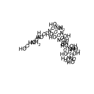 CC(N)C(O)c1ccccc1.CN(C)CCc1ccc(CO)cc1.CN(C)CCc1ccc(O)cc1.CN(C)c1ccc(CO)cc1.CN(C)c1ccc(O)cc1.CNC(C)C(O)c1ccccc1.CNc1ccc(O)cc1.NC(CO)C(O)c1ccccc1.NCCc1ccc(O)cc1.Nc1ccc(CO)cc1.Nc1ccc(O)cc1.Nc1ccccc1O